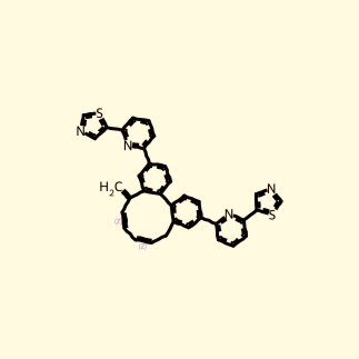 C=C1/C=C\C=C/Cc2cc(-c3cccc(-c4cncs4)n3)ccc2-c2ccc(-c3cccc(-c4cncs4)n3)cc21